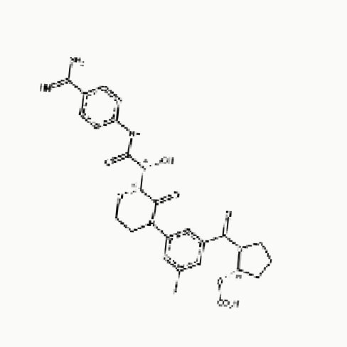 N=C(N)c1ccc(NC(=O)[C@H](O)[C@H]2OCCN(c3cc(F)cc(C(=O)N4CCC[C@@H]4OC(=O)O)c3)C2=O)cc1